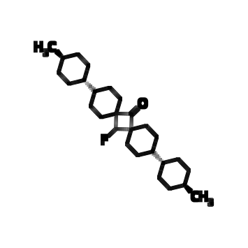 C[C@H]1CC[C@H](C2CCC3(CC2)C(=O)C2(CCC([C@H]4CC[C@H](C)CC4)CC2)C3F)CC1